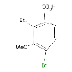 CCc1c(C(=O)O)ccc(Br)c1OC